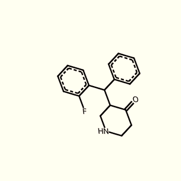 O=C1CCNCC1C(c1ccccc1)c1ccccc1F